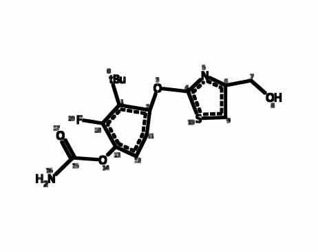 CC(C)(C)c1c(Oc2nc(CO)cs2)ccc(OC(N)=O)c1F